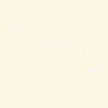 O=C(Cl)NCCCCCCNc1cccc2c1C(=O)N(C1CCC(=O)NC1=O)C2O